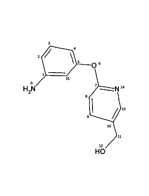 Nc1cccc(Oc2ccc(CO)cn2)c1